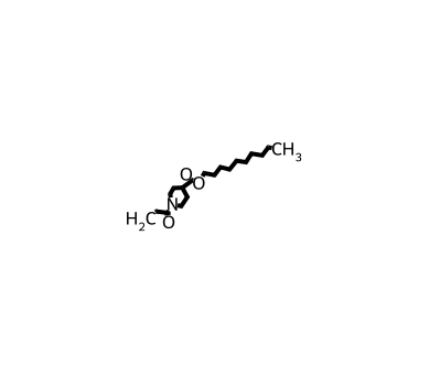 C=CC(=O)N1CCC(C(=O)OCCCCCCCCCC)CC1